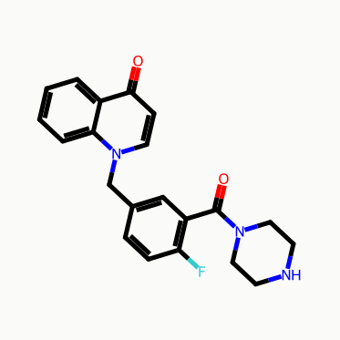 O=C(c1cc(Cn2ccc(=O)c3ccccc32)ccc1F)N1CCNCC1